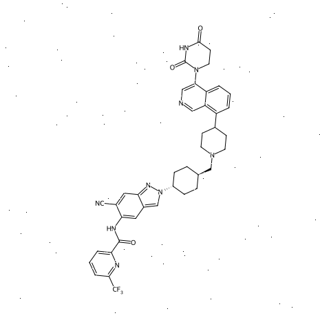 N#Cc1cc2nn([C@H]3CC[C@H](CN4CCC(c5cccc6c(N7CCC(=O)NC7=O)cncc56)CC4)CC3)cc2cc1NC(=O)c1cccc(C(F)(F)F)n1